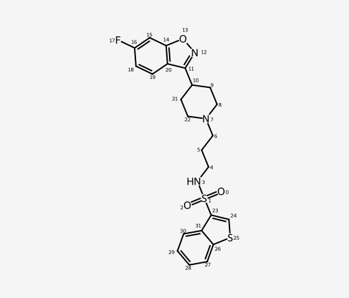 O=S(=O)(NCCCN1CCC(c2noc3cc(F)ccc23)CC1)c1csc2ccccc12